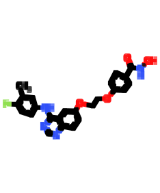 Cc1cc(Nc2ncnc3ccc(OCCOc4ccc(C(=O)NO)cc4)cc23)ccc1F